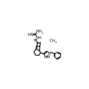 C.N=C(N)NN=C1CC2C1=C1CCCC(c3cn(Cc4ccccc4)nn3)C12